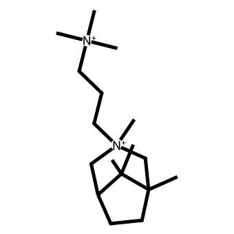 CC12CCC(C[N+](C)(CCC[N+](C)(C)C)C1)C2(C)C